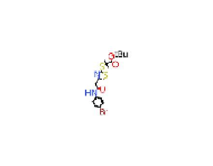 CC(C)(C)OC(=O)C(C)(C)Sc1nc(CC(=O)Nc2ccc(Br)cc2)cs1